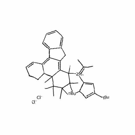 CCCCC1C=C(C(C)(C)C)C=[C]1[Zr+2](=[C](C)C)[C]1(C)C2=C3Cc4ccccc4C3=C3C=CCCC3C2(C)C(C)(C)C(C)(C)C1(C)C.[Cl-].[Cl-]